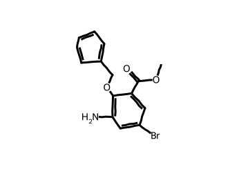 COC(=O)c1cc(Br)cc(N)c1OCc1ccccc1